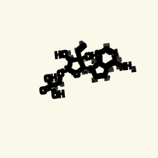 C=C[C@@]1(O)C(O)[C@@H](OCP(=O)(O)O)O[C@H]1n1ccc2c(N)ncnc21